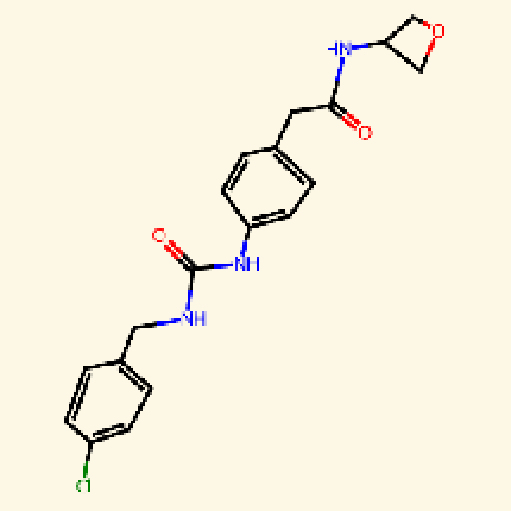 O=C(Cc1ccc(NC(=O)NCc2ccc(Cl)cc2)cc1)NC1COC1